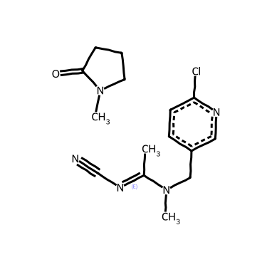 C/C(=N\C#N)N(C)Cc1ccc(Cl)nc1.CN1CCCC1=O